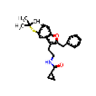 CC(C)(C)Sc1ccc2oc(Cc3ccccc3)c(CCNC(=O)C3CC3)c2c1